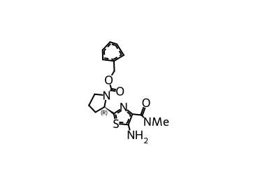 CNC(=O)c1nc([C@H]2CCCN2C(=O)OCc2ccccc2)sc1N